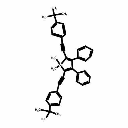 CC(C)(C)c1ccc(C#CC2=C(c3ccccc3)C(c3ccccc3)=C(C#Cc3ccc(C(C)(C)C)cc3)[Si]2(C)C)cc1